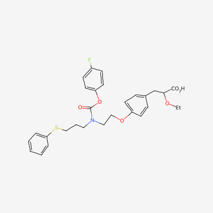 CCOC(Cc1ccc(OCCN(CCCSc2ccccc2)C(=O)Oc2ccc(F)cc2)cc1)C(=O)O